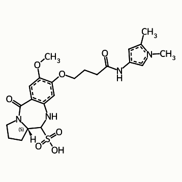 COc1cc2c(cc1OCCCC(=O)Nc1cc(C)n(C)c1)NC(S(=O)(=O)O)[C@@H]1CCCN1C2=O